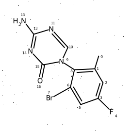 Cc1cc(F)cc(Br)c1-n1cnc(N)nc1=O